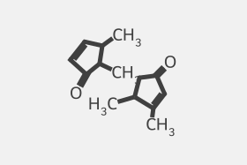 CC1=CC(=O)CC1C.CC1C=CC(=O)C1C